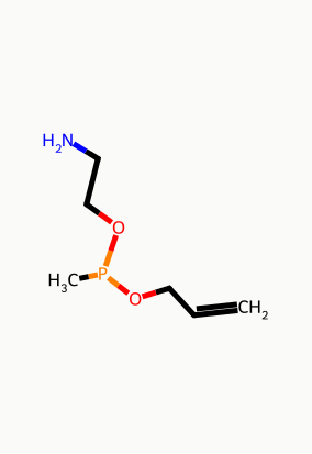 C=CCOP(C)OCCN